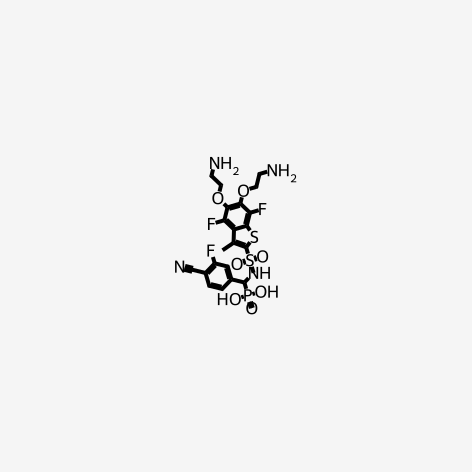 Cc1c(S(=O)(=O)NC(c2ccc(C#N)c(F)c2)P(=O)(O)O)sc2c(F)c(OCCN)c(OCCN)c(F)c12